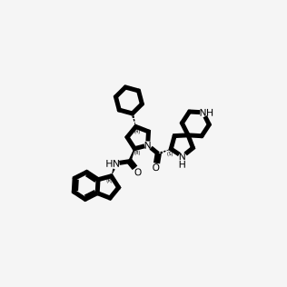 O=C(N[C@@H]1CCc2ccccc21)[C@H]1C[C@H](C2CCCCC2)CN1C(=O)[C@@H]1CC2(CCNCC2)CN1